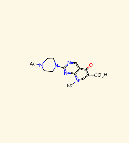 CCn1cc(C(=O)O)c(=O)c2cnc(N3CCN(C(C)=O)CC3)nc21